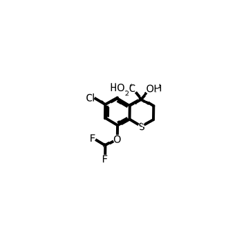 O=C(O)C1(O)CCSc2c(OC(F)F)cc(Cl)cc21